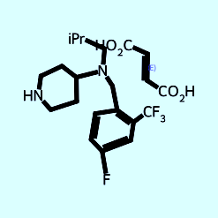 CC(C)CN(Cc1ccc(F)cc1C(F)(F)F)C1CCNCC1.O=C(O)/C=C/C(=O)O